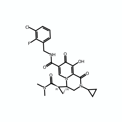 CN(C)C(=O)[C@@H]1C[C@]12CN(C1CC1)C(=O)c1c(O)c(=O)c(C(=O)NCc3cccc(Cl)c3F)cn12